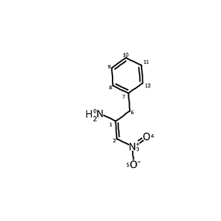 N/C(=C/[N+](=O)[O-])Cc1ccccc1